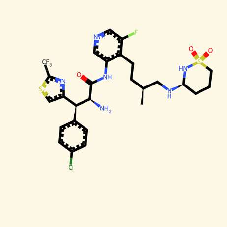 C[C@@H](CCc1c(F)cncc1NC(=O)[C@@H](N)[C@@H](c1ccc(Cl)cc1)c1csc(C(F)(F)F)n1)CN[C@@H]1CCCS(=O)(=O)N1